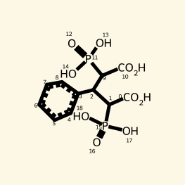 O=C(O)C(C(c1ccccc1)C(C(=O)O)P(=O)(O)O)P(=O)(O)O